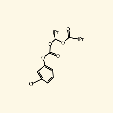 CC(C)C(=O)O[C@@H](OC(=O)Oc1cccc(Cl)c1)C(C)C